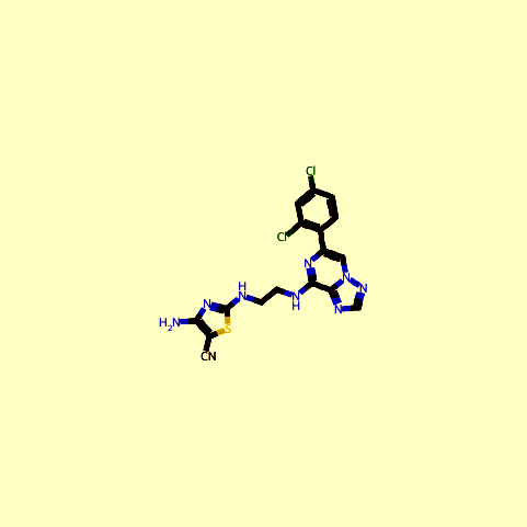 N#Cc1sc(NCCNc2nc(-c3ccc(Cl)cc3Cl)cn3ncnc23)nc1N